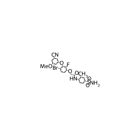 COc1cc(C#N)cc(Oc2c(Br)ccc(OCC(=O)Nc3ccc(S(N)(=O)=O)cc3C)c2F)c1